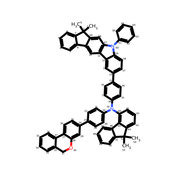 CC1(C)c2ccccc2-c2cc3c4cc(-c5ccc(N(c6ccc(-c7ccc8c(c7)OCc7ccccc7-8)cc6)c6cccc7c6-c6ccccc6C7(C)C)cc5)ccc4n(-c4ccccc4)c3cc21